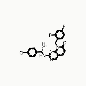 C[C@H](Nc1ncc2ccc(=O)n(Cc3ccc(F)cc3F)c2n1)c1ccc(Cl)cc1